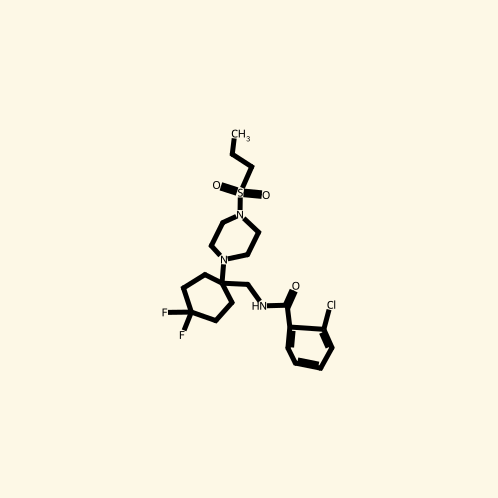 CCCS(=O)(=O)N1CCN(C2(CNC(=O)c3ccccc3Cl)CCC(F)(F)CC2)CC1